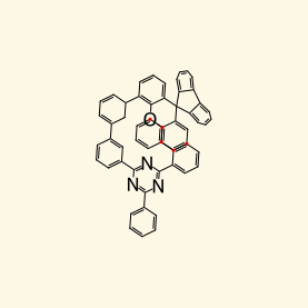 C1=CC(c2cccc3c2Oc2ccccc2C32c3ccccc3-c3ccccc32)CC(c2cccc(-c3nc(-c4ccccc4)nc(-c4ccccc4-c4ccccc4)n3)c2)=C1